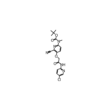 CN(C(=O)OC(C)(C)C)c1ccc(OCC(=O)Nc2ccc(Cl)cn2)c(C#N)n1